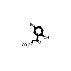 CCOC(=O)CC(=O)c1cc(Br)ccc1O